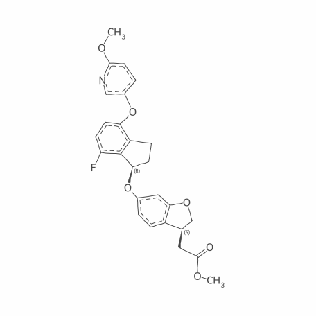 COC(=O)C[C@@H]1COc2cc(O[C@@H]3CCc4c(Oc5ccc(OC)nc5)ccc(F)c43)ccc21